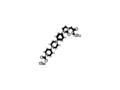 CC(C)(C)OC(=O)CN1CCN(c2ccc(N3CCN(C4CCN(C(=O)OC(C)(C)C)CC4)CC3)cc2)C1=O